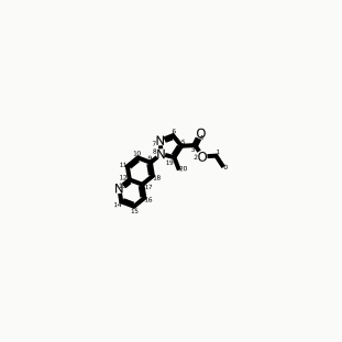 CCOC(=O)c1cnn(-c2ccc3ncccc3c2)c1C